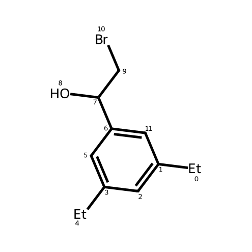 CCc1cc(CC)cc(C(O)CBr)c1